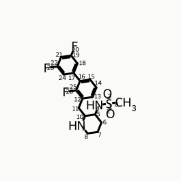 CS(=O)(=O)NC1CCCNC1Cc1cccc(-c2cc(F)cc(F)c2)c1F